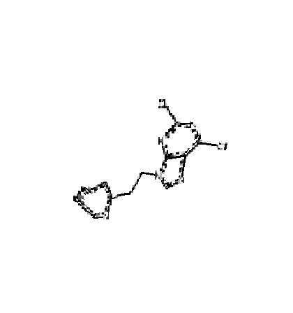 Clc1nc(Cl)c2ncn(CCc3ccccn3)c2n1